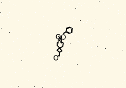 O=CC1CC2(CCN(C(=O)OCc3ccccc3)CC2)C1